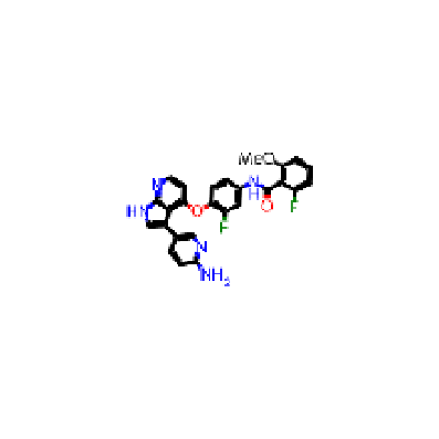 COc1cccc(F)c1C(=O)Nc1ccc(Oc2ccnc3[nH]cc(-c4ccc(N)nc4)c23)c(F)c1